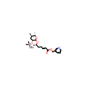 C[C@H](CC/C=C/C(=O)OCc1cccnc1)O[C@@H]1O[C@@H](C)[C@H](C)C[C@H]1O[Si](C)(C)C(C)(C)C